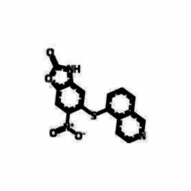 O=c1[nH]c2cc(Sc3cccc4cnccc34)c([N+](=O)[O-])cc2o1